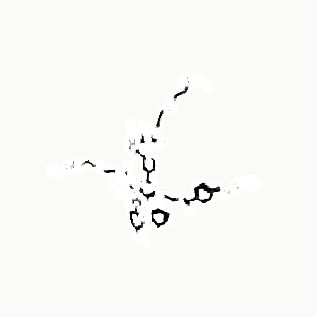 COc1ccccc1Oc1c(OCCOC(=O)c2ccc(CO[N+](=O)[O-])cc2)nc(-c2ccnc(-c3nnnn3C(C)OC(=O)OCCOCCO[N+](=O)[O-])c2)nc1N(C(C)OC(=O)OCCOCCO[N+](=O)[O-])S(=O)(=O)c1ccc(C)cn1